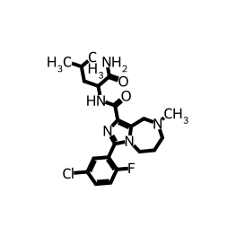 CC(C)CC(NC(=O)c1nc(-c2cc(Cl)ccc2F)n2c1CN(C)CCC2)C(N)=O